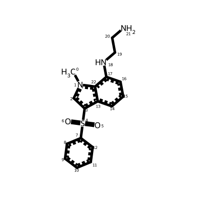 Cn1cc(S(=O)(=O)c2ccccc2)c2cccc(NCCN)c21